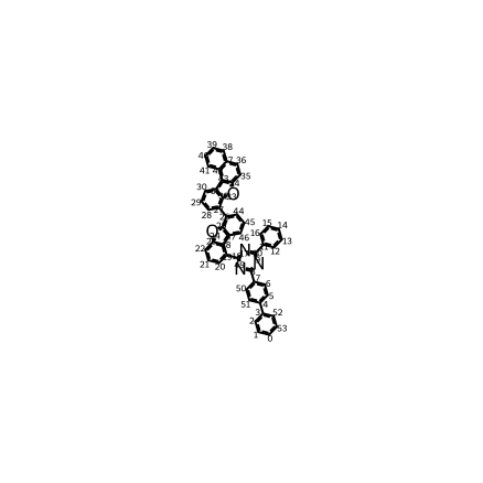 c1ccc(-c2ccc(-c3nc(-c4ccccc4)nc(-c4cccc5oc6c(-c7cccc8c7oc7ccc9ccccc9c78)cccc6c45)n3)cc2)cc1